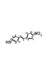 O=[N+]([O-])c1ccc(C=Cc2ccc(S)cc2)cc1